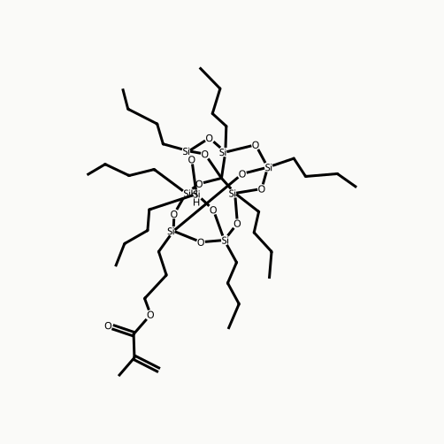 C=C(C)C(=O)OCCC[Si]12O[SiH](CCCC)OC34O[Si]5(CCCC)O[SiH](CCCC)O[Si](CCCC)(O1)O[Si]3(CCCC)O[Si](CCCC)(O2)O[Si]4(CCCC)O5